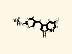 CCCCNc1ncc(Cc2c[nH]c3ncc(Cl)cc23)cn1